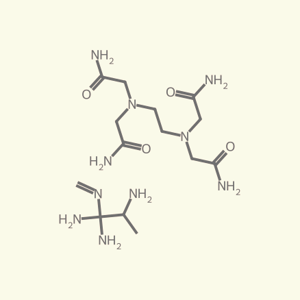 C=NC(N)(N)C(C)N.NC(=O)CN(CCN(CC(N)=O)CC(N)=O)CC(N)=O